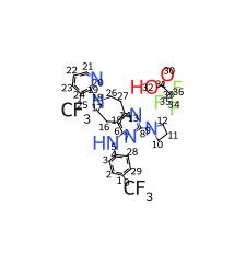 FC(F)(F)c1ccc(Nc2nc(N3CCC3)nc3c2CCN(c2ncccc2C(F)(F)F)CC3)cc1.O=C(O)C(F)(F)F